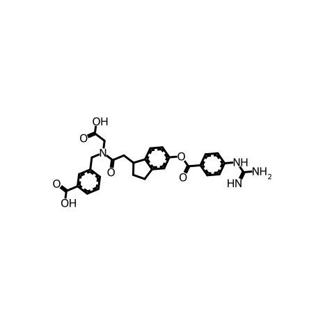 N=C(N)Nc1ccc(C(=O)Oc2ccc3c(c2)CCC3CC(=O)N(CC(=O)O)Cc2cccc(C(=O)O)c2)cc1